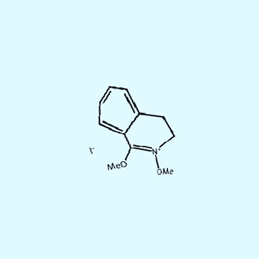 COC1=[N+](OC)CCc2ccccc21.[I-]